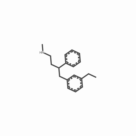 CCc1cccc(CC(CCNC)c2ccccc2)c1